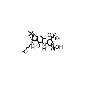 COCCCNc1nc(C(C)(C)C)ncc1C(=O)C(N[C@H]1C[C@@H](C(=O)N(C)OC)CN(C(=O)O)C1)C(C)C